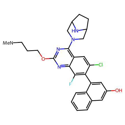 CNCCCOc1nc(N2CC3CCC(C2)N3)c2cc(Cl)c(-c3cc(O)cc4ccccc34)c(F)c2n1